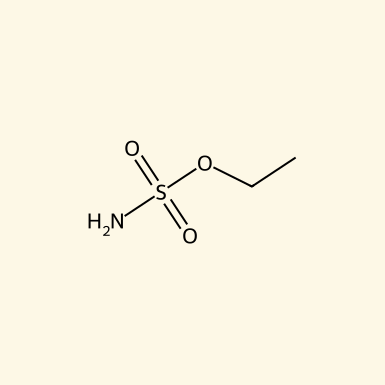 CCOS(N)(=O)=O